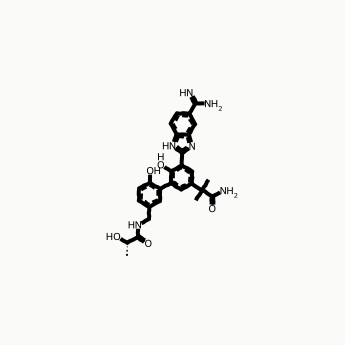 C[C@H](O)C(=O)NCc1ccc(O)c(-c2cc(C(C)(C)C(N)=O)cc(-c3nc4cc(C(=N)N)ccc4[nH]3)c2O)c1